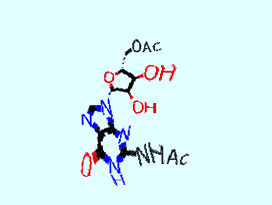 CC(=O)Nc1nc2c(ncn2[C@@H]2O[C@H](COC(C)=O)[C@@H](O)[C@H]2O)c(=O)[nH]1